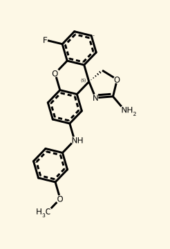 COc1cccc(Nc2ccc3c(c2)[C@@]2(COC(N)=N2)c2c[c]cc(F)c2O3)c1